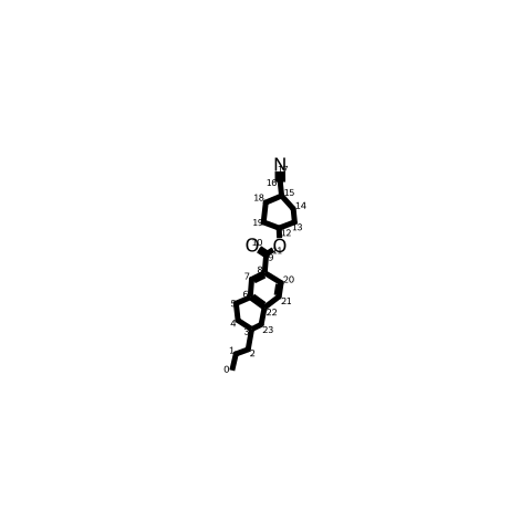 CCCC1CCc2cc(C(=O)OC3CCC(C#N)CC3)ccc2C1